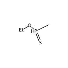 CCO[PH](C)=S